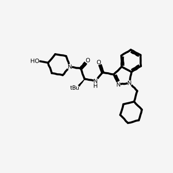 CC(C)(C)[C@H](NC(=O)c1nn(CC2CCCCC2)c2ccccc12)C(=O)N1CCC(O)CC1